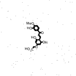 COc1ccc(C(=O)C=CC2C(O)=CC(OCC(=O)O)=CC2O)cc1O